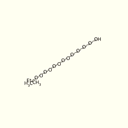 CCC(C)(C)CCOCCOCCOCCOCCOCCOCCOCCOCCOCCCOCCCOCCCOCCCO